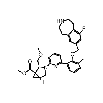 COC[C@H]1N(c2cccc(-c3cccc(C)c3OCc3cc(F)c4c(c3)CCNCC4)n2)C[C@@H]2C[C@@]21C(=O)OC